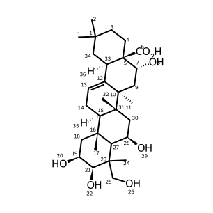 CC1(C)CC[C@]2(C(=O)O)[C@H](O)C[C@]3(C)C(=CC[C@@H]4[C@@]5(C)C[C@H](O)[C@H](O)C(C)(CO)C5[C@H](O)C[C@]43C)[C@H]2C1